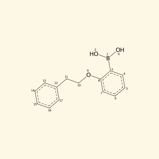 OB(O)c1ccccc1OCCc1ccccc1